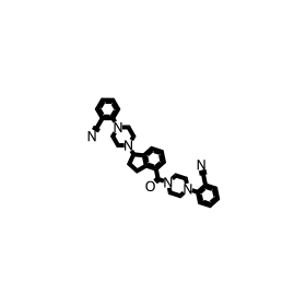 N#Cc1ccccc1N1CCN(C(=O)c2cccc3c2CCC3N2CCN(c3ccccc3C#N)CC2)CC1